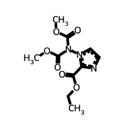 CCOC(=O)c1nccn1N(C(=O)OC)C(=O)OC